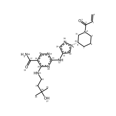 C=CC(=O)N1CCC[C@H](n2cc(Nc3ncc(C(N)=O)c(NCCC(C)(C)O)n3)cn2)C1